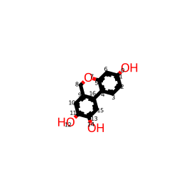 Oc1ccc2c(c1)OCc1cc(O)c(O)cc1-2